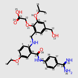 CCOc1ccc(NCc2cc(CO)cc(OC(C)C)c2OCC(=O)O)c(C(=O)Nc2ccc(C(=N)N)cc2)c1